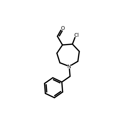 O=CC1CCN(Cc2ccccc2)CCC1Cl